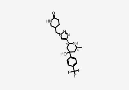 C[C@H]1CC(O)(c2ccc(C(F)(F)F)cc2)C[C@@H](c2cn(CC3CCC(=O)NC3)nn2)N1